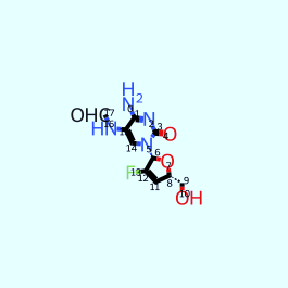 Nc1nc(=O)n([C@@H]2O[C@H](CO)C=C2F)cc1NC=O